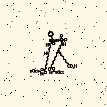 CCCCCCCCC(CC)OC(=O)CCCCCCCN(CCCCCCCC(=O)O)CCCNc1c(NC)c(=O)c1=O.CCCCCCCCC(CC)OC(=O)CCCCCCCNCCCNC(=O)OCc1ccccc1